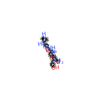 CN1CC(C(=O)Nc2ccc(NC3CC(C)(C)NC(C)(C)C3)nc2)c2cccc(CN(CCC=O)C(=O)C(N)Cc3ccc(O)cc3)c21